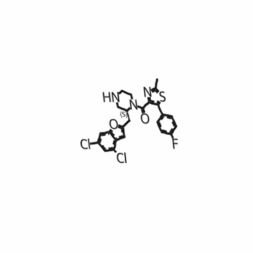 Cc1nc(C(=O)N2CCNC[C@@H]2Cc2cc3c(Cl)cc(Cl)cc3o2)c(-c2ccc(F)cc2)s1